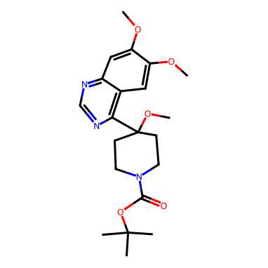 COc1cc2ncnc(C3(OC)CCN(C(=O)OC(C)(C)C)CC3)c2cc1OC